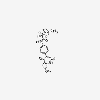 CNc1ccc2c(=O)c(-c3ccc(NC(=O)NS(=O)(=O)c4ccc(C)s4)cc3)cc(=O)[nH]c2c1